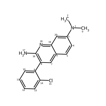 CN(C)c1ccc2cc(-c3ccccc3Cl)c(N)nc2c1